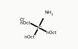 CCCCCCCC[N+](C)(CCCCCCCC)CCCCCCCC.N.[Cl-]